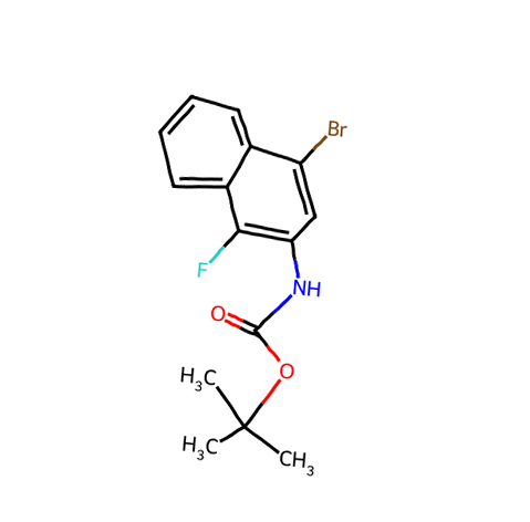 CC(C)(C)OC(=O)Nc1cc(Br)c2ccccc2c1F